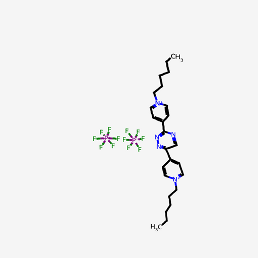 CCCCCC[n+]1ccc(-c2cnc(-c3cc[n+](CCCCCC)cc3)nn2)cc1.F[P-](F)(F)(F)(F)F.F[P-](F)(F)(F)(F)F